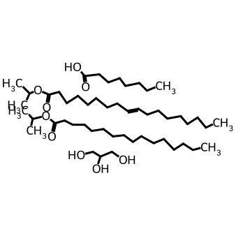 CCCCCCCC(=O)O.CCCCCCCCC=CCCCCCCCC(=O)OC(C)C.CCCCCCCCCCCCCCCC(=O)OC(C)C.OCC(O)CO